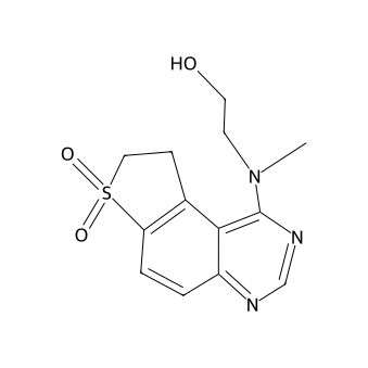 CN(CCO)c1ncnc2ccc3c(c12)CCS3(=O)=O